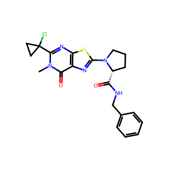 Cn1c(C2(Cl)CC2)nc2sc(N3CCC[C@@H]3C(=O)NCc3ccccc3)nc2c1=O